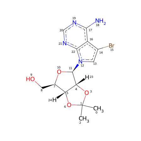 CC1(C)O[C@@H]2[C@H](O1)[C@@H](CO)O[C@H]2n1cc(Br)c2c(N)ncnc21